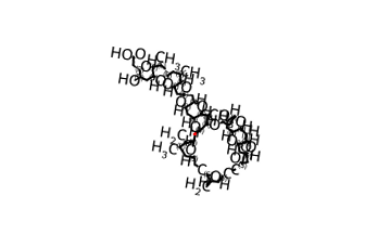 C=C1C[C@@H]2CC[C@@]34C[C@@H]5O[C@H]6[C@@H](O3)[C@H]3O[C@H](CC[C@@H]3O[C@H]6C5O4)CC(=O)O[C@@H]3[C@@H](C)[C@@H]4O[C@@H]5C[C@]6(C[C@@H]7O[C@]8(C[C@H](C)[C@@H]9O[C@H](CC(=O)O)[C@H](O)C[C@@H]9O8)C[C@H](C)[C@@H]7O6)O[C@@H]5C[C@@H]4O[C@H]3C[C@H]3O[C@@H](CC[C@@H]1O2)C[C@@H](C)C3=C